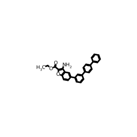 CCOC(=O)c1oc2ccc(-c3cccc(-c4ccc(-c5ccccc5)cc4)c3)cc2c1N